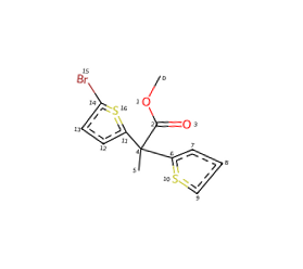 COC(=O)C(C)(c1cccs1)c1ccc(Br)s1